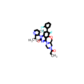 C=CC(=O)N1CCN2c3nc(=O)n(-c4c(C)ccnc4C(C)C)c4c(F)c(-c5ccccc5F)c(F)c(c34)OCC2C1